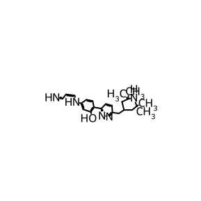 CC1(C)CC(Cc2ccc(-c3ccc(N/C=C\C=N)cc3O)nn2)CC(C)(C)N1